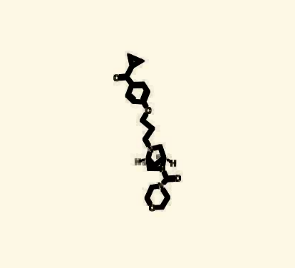 O=C(c1ccc(OCCCN2C[C@@H]3C[C@H]2CN3C(=O)N2CCOCC2)cc1)C1CC1